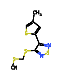 Cc1csc(-c2nsnc2SCSC#N)c1